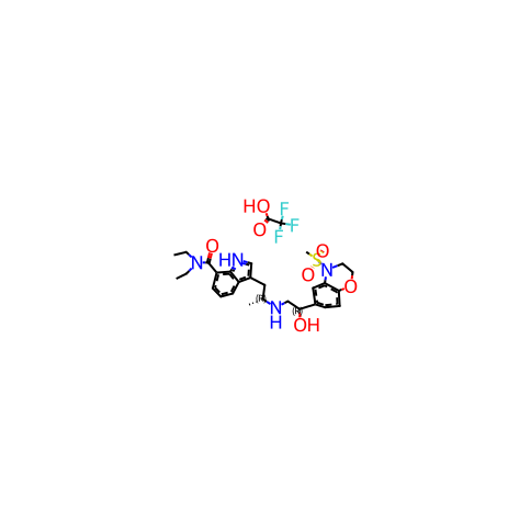 CCN(CC)C(=O)c1cccc2c(C[C@@H](C)NC[C@H](O)c3ccc4c(c3)N(S(C)(=O)=O)CCO4)c[nH]c12.O=C(O)C(F)(F)F